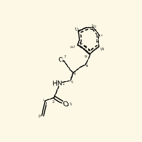 C=CC(=O)NCC(Cl)Cc1ccccc1